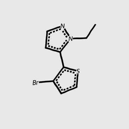 CCn1nccc1-c1sccc1Br